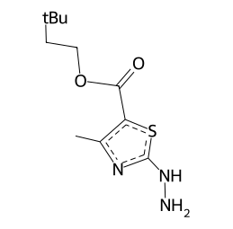 Cc1nc(NN)sc1C(=O)OCCC(C)(C)C